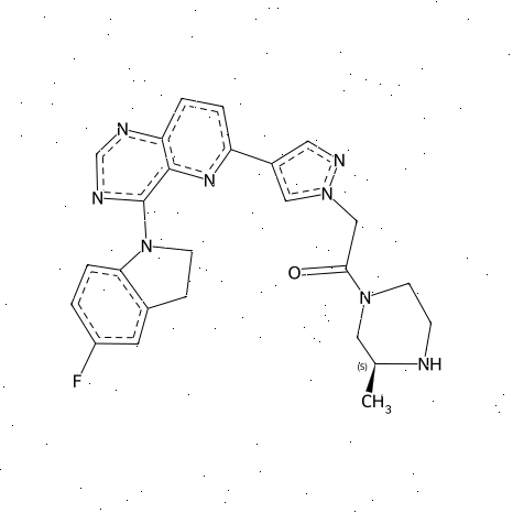 C[C@H]1CN(C(=O)Cn2cc(-c3ccc4ncnc(N5CCc6cc(F)ccc65)c4n3)cn2)CCN1